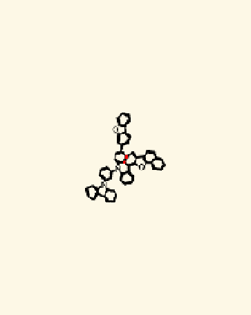 c1cc(N(c2ccc(-c3ccc4c(c3)oc3ccccc34)cc2)c2ccccc2-c2cccc3c2oc2c4ccccc4ccc32)cc(-n2c3ccccc3c3ccccc32)c1